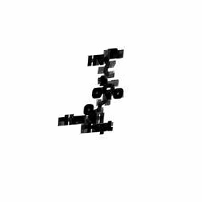 CCCCCCCC(CCCCCC)NC(=O)CCCN1C(=O)CC(SCCCC(=N)C(C)CC)C1=O